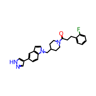 O=C(CCc1ccccc1F)N1CCC(Cn2ccc3cc(-c4cn[nH]c4)ccc32)CC1